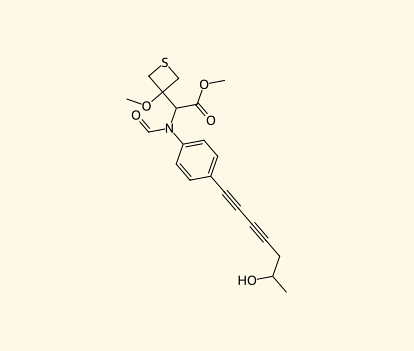 COC(=O)C(N(C=O)c1ccc(C#CC#CCC(C)O)cc1)C1(OC)CSC1